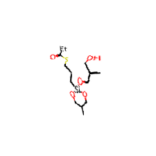 CCC(=O)SCCC[Si]1(OCC(C)CO)OCC(C)CO1